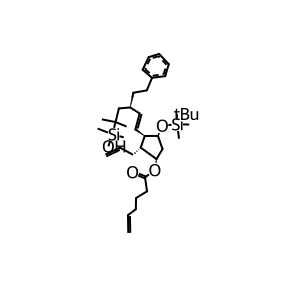 C=CCCCC(=O)O[C@H]1C[C@@H](O[Si](C)(C)C(C)(C)C)[C@H](/C=C/[C@H](CCc2ccccc2)CC(C)(C)[Si](C)(C)O)[C@H]1CC=C